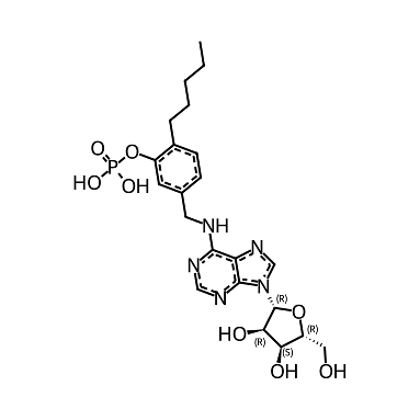 CCCCCc1ccc(CNc2ncnc3c2ncn3[C@@H]2O[C@H](CO)[C@@H](O)[C@H]2O)cc1OP(=O)(O)O